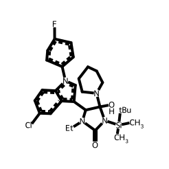 CCN1C(=O)N([Si](C)(C)C(C)(C)C)C(O)(N2CCCCC2)C1c1cn(-c2ccc(F)cc2)c2ccc(Cl)cc12